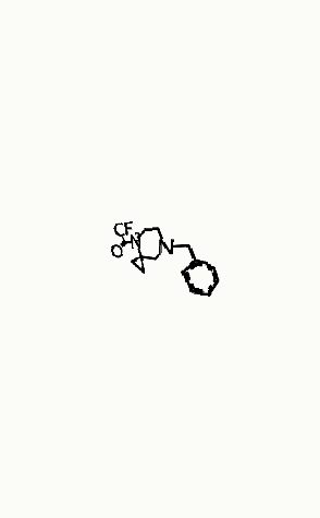 O=C(N1CCN(Cc2ccccc2)CC12CC2)C(F)(F)F